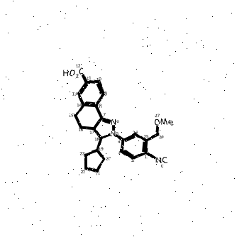 [C-]#[N+]c1ccc(N2N=C3c4ccc(C(=O)O)cc4CCC3C2C2CCCC2)cc1COC